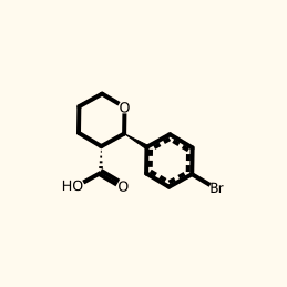 O=C(O)[C@@H]1CCCO[C@H]1c1ccc(Br)cc1